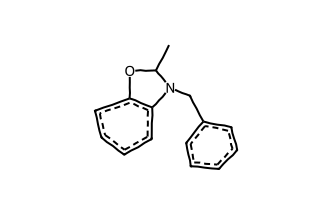 CC1Oc2ccccc2N1Cc1ccccc1